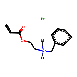 C=CC(=O)OCC[N+](CC)(CC)Cc1ccccc1.[Br-]